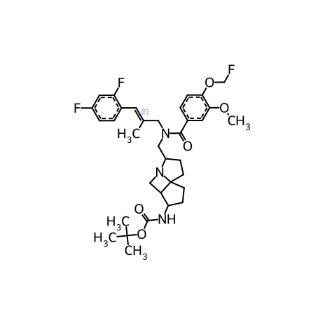 COc1cc(C(=O)N(C/C(C)=C/c2ccc(F)cc2F)CC2CCC34CCC(NC(=O)OC(C)(C)C)C3CN24)ccc1OCF